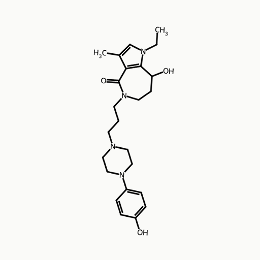 CCn1cc(C)c2c1C(O)CCN(CCCN1CCN(c3ccc(O)cc3)CC1)C2=O